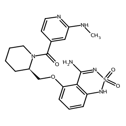 CNc1cc(C(=O)N2CCCC[C@@H]2COc2cccc3c2C(N)=NS(=O)(=O)N3)ccn1